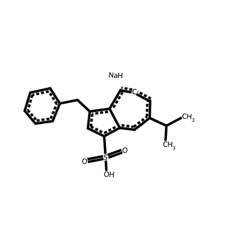 CC(C)c1cccc2c(Cc3ccccc3)cc(S(=O)(=O)O)c-2c1.[NaH]